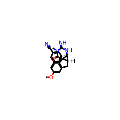 COc1ccc2c(c1)C[C@H]1[C@]23C(=O)N(C)C(=N)N[C@@]13c1cccc(C#N)c1